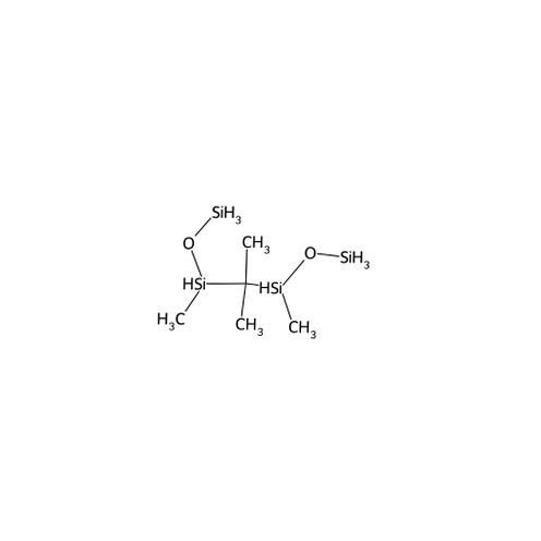 C[SiH](O[SiH3])C(C)(C)[SiH](C)O[SiH3]